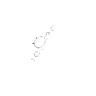 CO[C@]1(C)C[C@@H](C)CN(C)[C@H]([C@H]2C[C@@H](N(C)CC(C)C)C2)COC(=O)[C@H](C)C(=O)[C@H](C)[C@H]1O[C@H]1C[C@@H](N(C)C)C[C@@H](C)O1